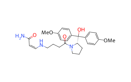 COc1ccc(C(O)(c2ccc(OC)cc2)[C@@H]2CCCN2C(=O)CCCN/C=C\C(N)=O)cc1